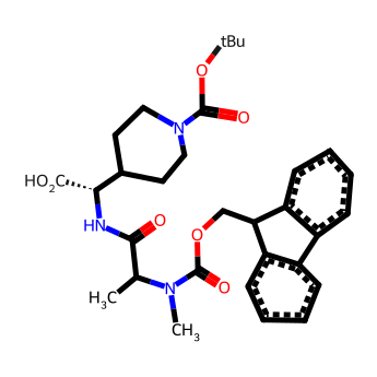 CC(C(=O)N[C@H](C(=O)O)C1CCN(C(=O)OC(C)(C)C)CC1)N(C)C(=O)OCC1c2ccccc2-c2ccccc21